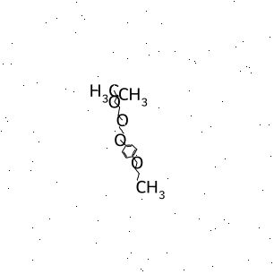 CCCCOc1ccc(OCCOCCOC(C)C)cc1